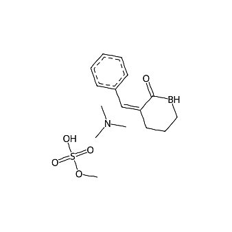 CN(C)C.COS(=O)(=O)O.O=C1BCCCC1=Cc1ccccc1